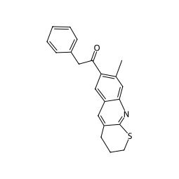 Cc1cc2nc3c(cc2cc1C(=O)Cc1ccccc1)CCCS3